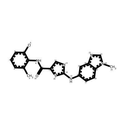 Cc1cccc(Cl)c1NC(=O)c1cnc(Nc2ccc3c(c2)ncn3C)s1